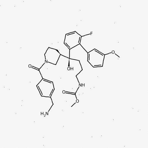 COC(=O)NCCC[C@@](O)(c1cccc(F)c1-c1cccc(OC)c1)[C@@H]1CCCN(C(=O)c2ccc(CN)cc2)C1